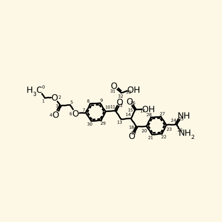 CCOC(=O)COc1ccc(C(=O)CC(C(=O)O)C(=O)c2ccc(C(=N)N)cc2)cc1.O=CO